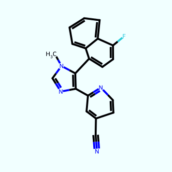 Cn1cnc(-c2cc(C#N)ccn2)c1-c1ccc(F)c2ccccc12